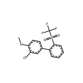 COc1ccc(-c2[c]cccc2S(=O)(=O)C(F)(F)F)cc1Cl